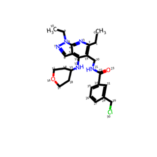 CCc1nc2c(cnn2CC)c(NC2CCOCC2)c1CNC(=O)c1cccc(CCl)c1